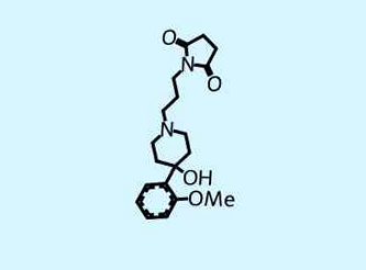 COc1ccccc1C1(O)CCN(CCCN2C(=O)CCC2=O)CC1